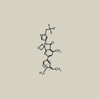 C=C/C(=C\C(=C/C)OC)c1cc(C)c2c(n1)C1(COC1)N(c1cnn(CC(F)(F)F)c1)C2=O